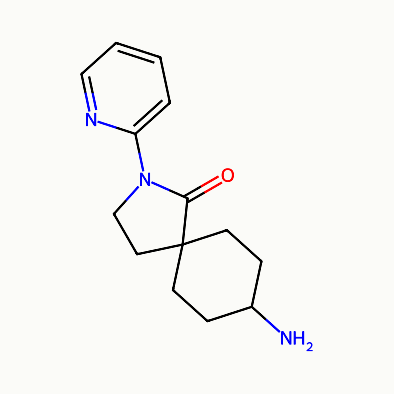 NC1CCC2(CC1)CCN(c1ccccn1)C2=O